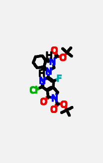 CC(C)(C)OC(=O)N1Cc2c(F)c(N3CN(C(=O)OC(C)(C)C)[C@H]4CCCC[C@H]43)nc(Cl)c2C1=O